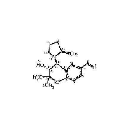 CC1(C)Oc2ccc(C=O)cc2[C@H](N2CCCC2=O)[C@H]1O